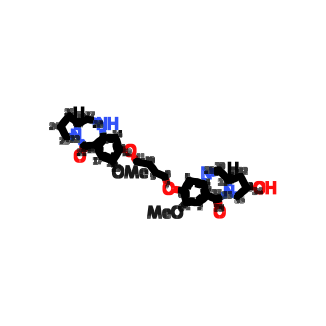 COc1cc2c(cc1OCCCCOc1cc3c(cc1OC)C(=O)N1CCC[C@H]1CN3)N=C[C@@H]1C[C@@H](O)CN1C2=O